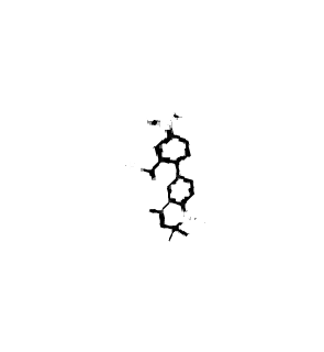 CC1=CC(C)(C)Nc2ccc(-c3ccc([N+](=O)[O-])cc3C(=O)O)cc21